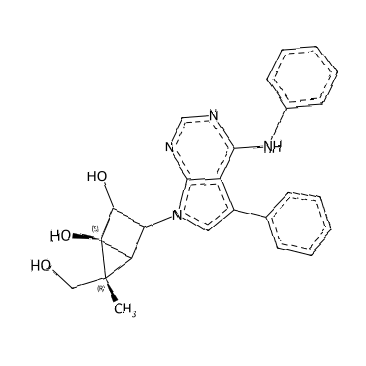 C[C@]1(CO)C2C(n3cc(-c4ccccc4)c4c(Nc5ccccc5)ncnc43)C(O)[C@]21O